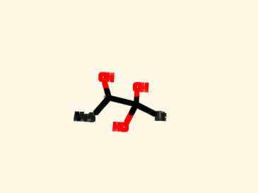 CCC(O)(O)[C](O)SC